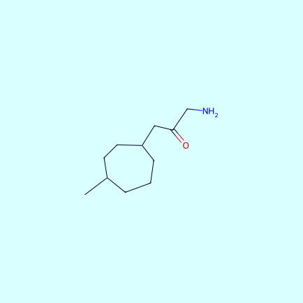 CC1CCCC(CC(=O)CN)CC1